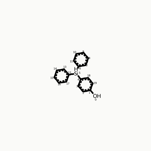 Oc1ccc([SiH](c2ccccc2)c2ccccc2)cc1